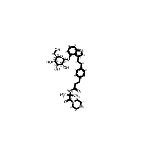 CC(C)(NC(=O)CCc1ccc(CCc2coc3cccc(O[C@@H]4O[C@H](CO)[C@@H](O)[C@H](O)[C@H]4O)c23)cc1)C(=O)N1CCNCC1